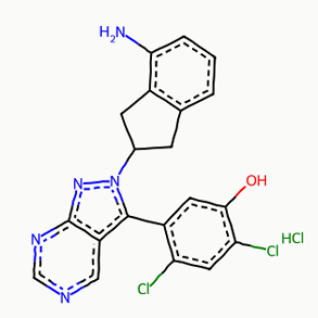 Cl.Nc1cccc2c1CC(n1nc3ncncc3c1-c1cc(O)c(Cl)cc1Cl)C2